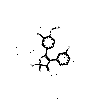 CSc1ccc(C2=C(c3cccc(Cl)c3)C(=O)C(C)(C)O2)cc1Br